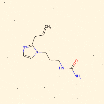 C=CCc1nccn1CCCNC(N)=O